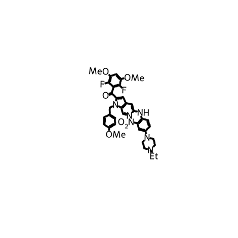 CCN1CCN(c2ccc(Nc3cc4cc(C(=O)c5c(F)c(OC)cc(OC)c5F)n(Cc5ccc(OC)cc5)c4cn3)c([N+](=O)[O-])c2)CC1